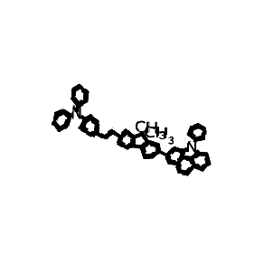 CC1(C)c2cc(/C=C/c3ccc(N(c4ccccc4)c4ccccc4)cc3)ccc2-c2ccc(-c3cc4ccc5cccc6c5c4c(c3)n6-c3ccccc3)cc21